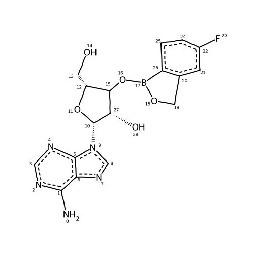 Nc1ncnc2c1ncn2[C@@H]1O[C@H](CO)C(OB2OCc3cc(F)ccc32)[C@@H]1O